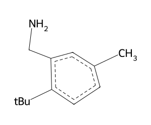 Cc1ccc(C(C)(C)C)c(CN)c1